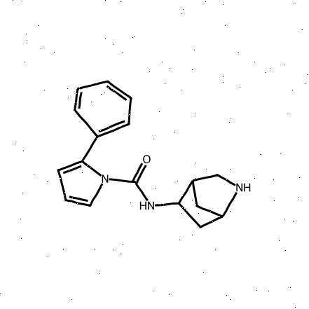 O=C(NC1CC2CC1CN2)n1cccc1-c1ccccc1